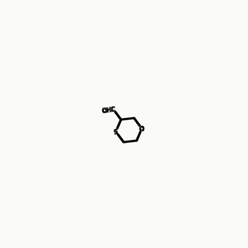 O=CC1COCCS1